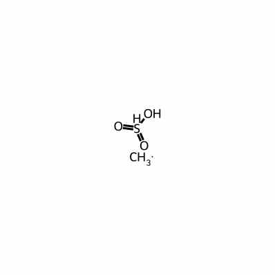 O=[SH](=O)O.[CH3]